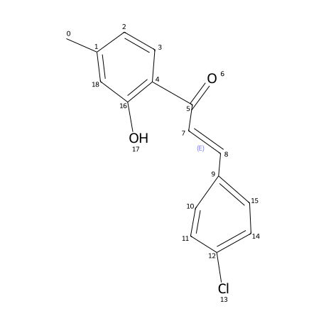 Cc1ccc(C(=O)/C=C/c2ccc(Cl)cc2)c(O)c1